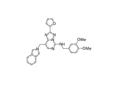 COc1ccc(CNc2ncc(Cn3cc4ccccc4c3)c3nc(-c4ccco4)nn23)cc1OC